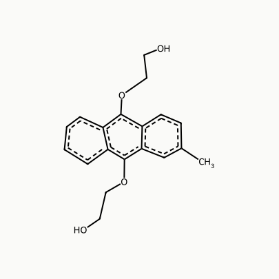 Cc1ccc2c(OCCO)c3ccccc3c(OCCO)c2c1